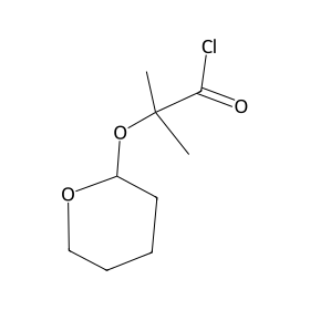 CC(C)(OC1CCCCO1)C(=O)Cl